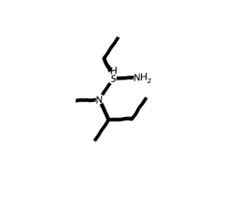 CCC(C)N(C)[SH](N)CC